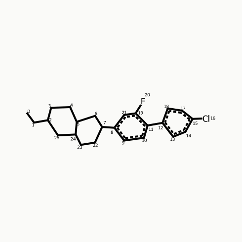 CCC1CCC2CC(c3ccc(-c4ccc(Cl)cc4)c(F)c3)CCC2C1